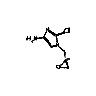 Nc1cn(C[C@@H]2CO2)c(Cl)n1